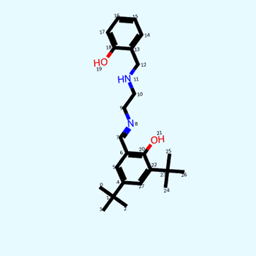 CC(C)(C)c1cc(C=NCCNCc2ccccc2O)c(O)c(C(C)(C)C)c1